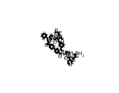 BN(C)[C@@H](C)C(=O)N[C@H](C(=O)N1CCC[C@H]1CN(CCc1ccccc1)C(=O)c1ccc(-c2ccc(C(=O)N(CCc3ccccc3)C[C@@H]3CCCN3C(=O)[C@@H](NC(=O)[C@H](C)N(C)C)C3CCOCC3)cc2)cc1)C1CCOCC1